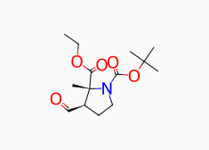 CCOC(=O)[C@@]1(C)[C@H](C=O)CCN1C(=O)OC(C)(C)C